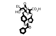 CC[C@H](O)[C@@H]1C(=O)N2C(C(=O)O)=C(SC3CCN(CC(=O)c4ccccc4)C3)S[C@]12Cc1ccc([N+](=O)[O-])cc1